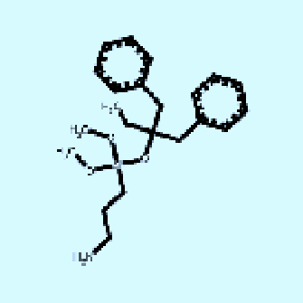 CCC(Cc1ccccc1)(Cc1ccccc1)O[Si](CCCN)(OC)OC